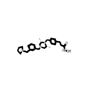 C[C@@H]1CN(Cc2cccc(CN3CCCC3)c2)C[C@H](C)N1Cc1ccc(CCC(=O)NO)cc1